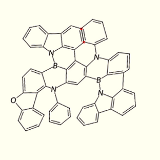 c1ccc(N2c3cccc4c3B(c3cc5c6c(c32)-c2cccc3c7ccccc7n(c23)B6c2ccc3oc6ccccc6c3c2N5c2ccccc2)n2c3ccccc3c3cccc-4c32)cc1